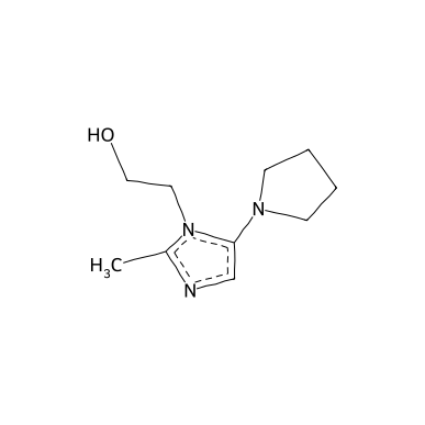 Cc1ncc(N2CCCC2)n1CCO